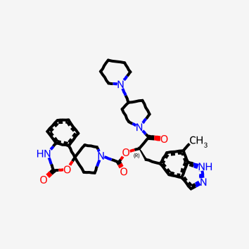 Cc1cc(C[C@@H](OC(=O)N2CCC3(CC2)OC(=O)Nc2ccccc23)C(=O)N2CCC(N3CCCCC3)CC2)cc2cn[nH]c12